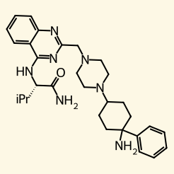 CC(C)[C@H](Nc1nc(CN2CCN(C3CCC(N)(c4ccccc4)CC3)CC2)nc2ccccc12)C(N)=O